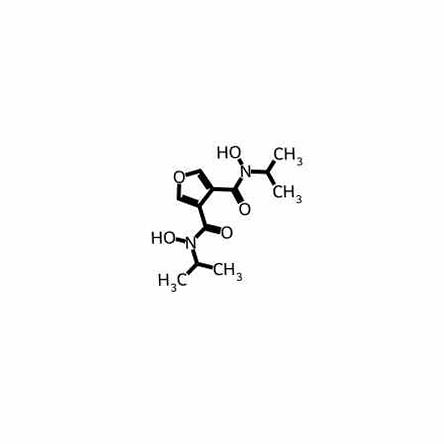 CC(C)N(O)C(=O)c1cocc1C(=O)N(O)C(C)C